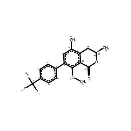 COc1c(-c2ccc(C(F)(F)F)cc2)cc(C)c2c1C(=O)O[C@H](C)C2